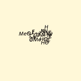 COc1cc(OC)c(F)c(COc2cnc(Nc3cnn(CC(O)CO)c3)nc2)c1F